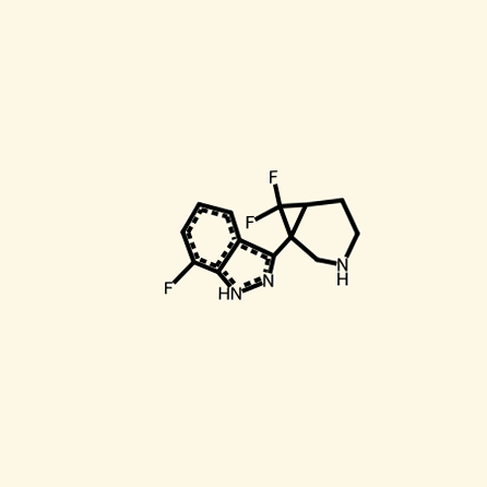 Fc1cccc2c(C34CNCCC3C4(F)F)n[nH]c12